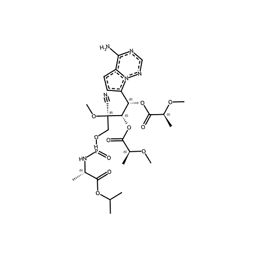 CO[C@@H](C)C(=O)O[C@@H](c1ccc2c(N)ncnn12)[C@H](OC(=O)[C@H](C)OC)[C@@](C#N)(CO[PH](=O)N[C@@H](C)C(=O)OC(C)C)OC